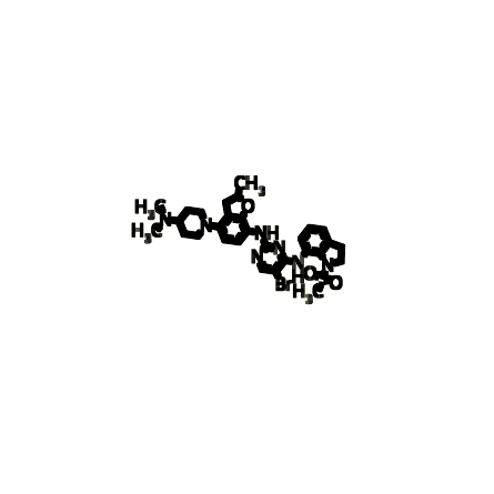 CC1Cc2c(N3CCC(N(C)C)CC3)ccc(Nc3ncc(Br)c(Nc4cccc5c4N(S(C)(=O)=O)CC5)n3)c2O1